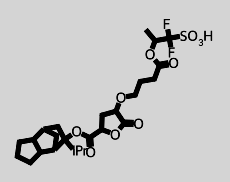 CC(C)C1(OC(=O)C2CC(OCCCC(=O)OC(C)C(F)(F)S(=O)(=O)O)C(=O)O2)CC2CC1C1CCCC21